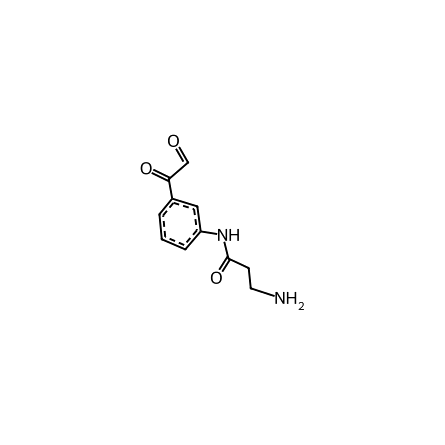 NCCC(=O)Nc1cccc(C(=O)C=O)c1